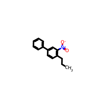 CCCc1ccc(-c2ccccc2)cc1[N+](=O)[O-]